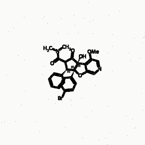 COc1cncc2c1[C@]1(O)C(=O)C(C(=O)N(C)C)[C@@H](c3ccccc3)[C@]1(c1ccc(Br)cc1)O2